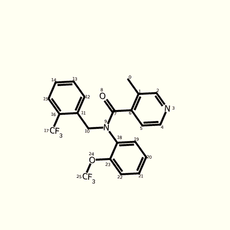 Cc1cnccc1C(=O)N(Cc1ccccc1C(F)(F)F)c1ccccc1OC(F)(F)F